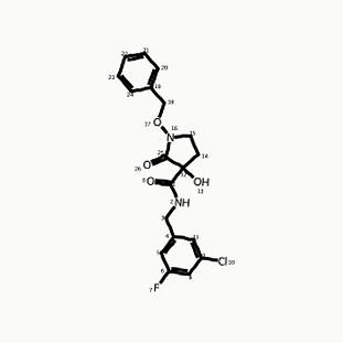 O=C(NCc1cc(F)cc(Cl)c1)C1(O)CCN(OCc2ccccc2)C1=O